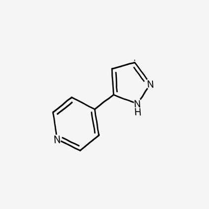 [c]1cc(-c2ccncc2)[nH]n1